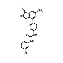 Cc1cccc(NC(=O)Nc2ccc(-c3cc(N)cc4c3CNC4=O)cc2)c1